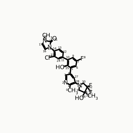 Cc1ncc(-c2cc(F)cc(-c3ccc(-n4ccn(C)c4=O)c(Cl)c3)c2O)cc1N1CC(F)(F)[C@](C)(O)C1